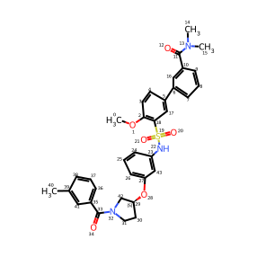 COc1ccc(-c2cccc(C(=O)N(C)C)c2)cc1S(=O)(=O)Nc1cccc(O[C@H]2CCN(C(=O)c3cccc(C)c3)C2)c1